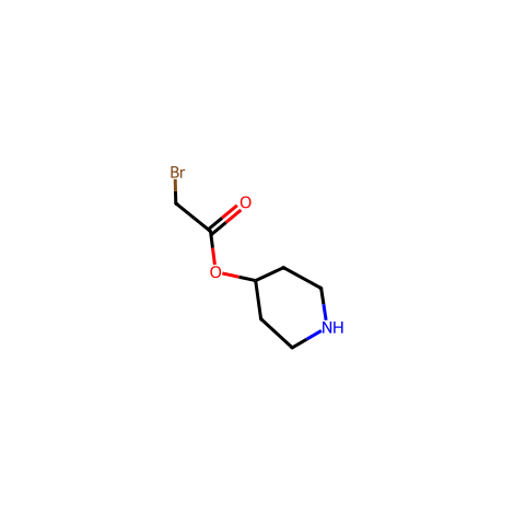 O=C(CBr)OC1CCNCC1